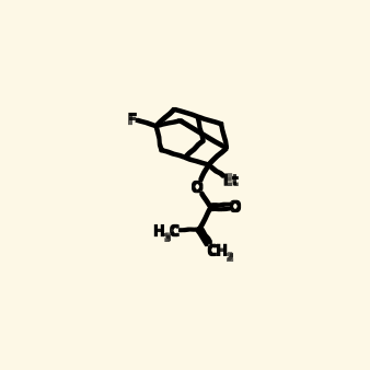 C=C(C)C(=O)OC1(CC)C2CC3CC1CC(F)(C3)C2